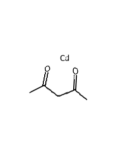 CC(=O)CC(C)=O.[Cd]